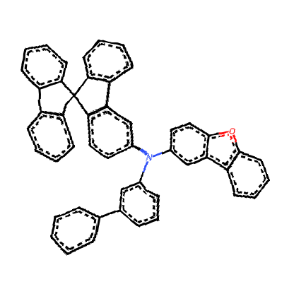 c1ccc(-c2cccc(N(c3ccc4c(c3)-c3ccccc3C43c4ccccc4-c4ccccc43)c3ccc4oc5ccccc5c4c3)c2)cc1